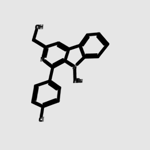 CCCCn1c2ccccc2c2cc(CO)nc(-c3ccc(Cl)cc3)c21